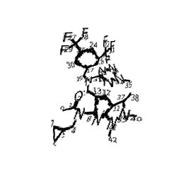 CC(=O)N(CC1CC1)c1nc2c(cc1CN(Cc1cc(C(F)(F)F)cc(C(F)(F)F)c1)c1nnn(C)n1)C(C)N(C)N2C